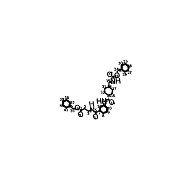 O=C(CCNC(=O)c1cccc(NC(=O)[C@H]2CC[C@H](CNC(=O)OCc3ccccc3)CC2)c1)OCc1ccccc1